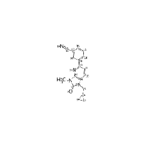 Cn1c(=O)n(CC2CC2)c2ccc(-c3cccc(C#N)c3)nc21